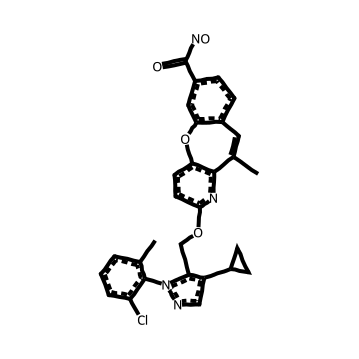 CC1=Cc2ccc(C(=O)N=O)cc2Oc2ccc(OCc3c(C4CC4)cnn3-c3c(C)cccc3Cl)nc21